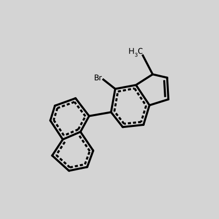 CC1C=Cc2ccc(-c3cccc4ccccc34)c(Br)c21